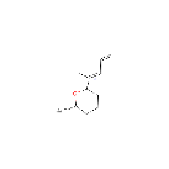 C=C/C=C(\C)C1CCCC(OC(C)=O)O1